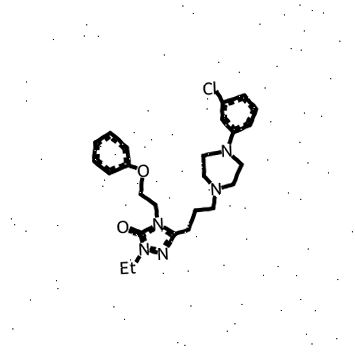 CCn1nc(CCCN2CCN(c3cccc(Cl)c3)CC2)n(CCOc2ccccc2)c1=O